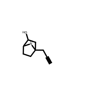 C#CCC12CCC(N1)C(O)C2